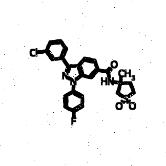 CC1(NC(=O)c2ccc3c(-c4cccc(Cl)c4)nn(-c4ccc(F)cc4)c3c2)CCS(=O)(=O)C1